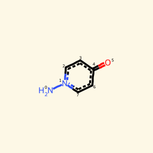 Nn1ccc(=O)cc1